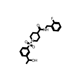 CC(O)c1cccc(S(=O)(=O)N2CCC(C(=O)NCc3ccccc3F)CC2)c1